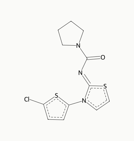 O=C(N=c1sccn1-c1ccc(Cl)s1)N1CCCC1